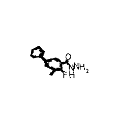 Cc1cc(-c2ccccc2)cc(C(=O)NN)c1F